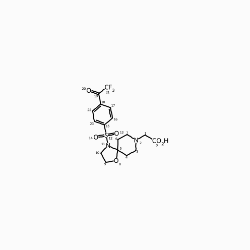 O=C(O)CN1CCC2(CC1)OCCN2S(=O)(=O)c1ccc(C(=O)C(F)(F)F)cc1